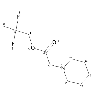 CC(F)(F)COC(=O)CN1CCCCC1